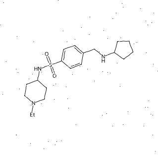 CCN1CCC(NS(=O)(=O)c2ccc(CNC3CCCC3)cc2)CC1